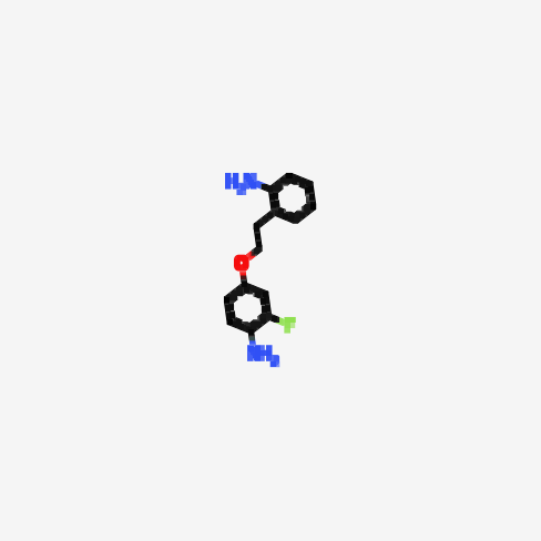 Nc1ccc(OCCc2ccccc2N)cc1F